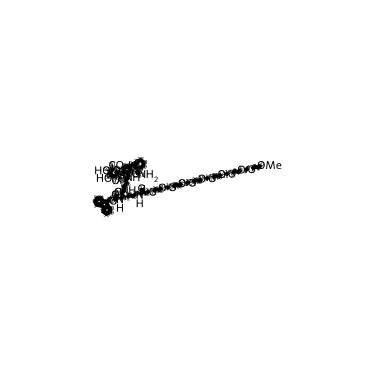 COCCOCCOCCOCCOCCOCCOCCOCCOCCOCCOCCOCCC(=O)NCCCC[C@H](NC(=O)OCC1c2ccccc2-c2ccccc21)C(=O)NCCC(=O)Nc1cc(C[N+]2(C)CCCC[C@@H]2C(N)=O)ccc1O[C@@H]1O[C@H](C(=O)O)[C@@H](O)[C@H](O)[C@H]1O